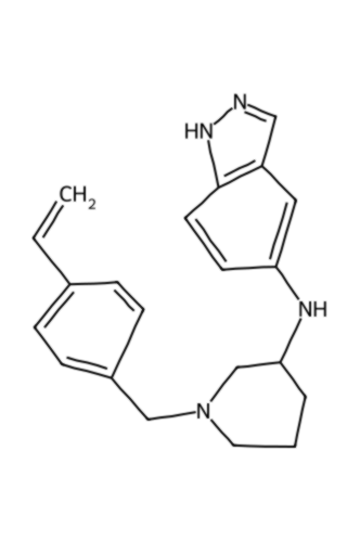 C=Cc1ccc(CN2CCCC(Nc3ccc4[nH]ncc4c3)C2)cc1